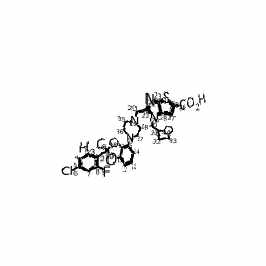 CC1(c2ccc(Cl)cc2F)Oc2cccc(N3CCN(Cc4nc5sc(C(=O)O)cc5n4CC4CCO4)CC3)c2O1